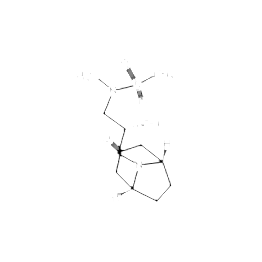 CN(C[C@H](O)CN1[C@@H]2CC[C@H]1CC(=O)C2)S(C)(=O)=O